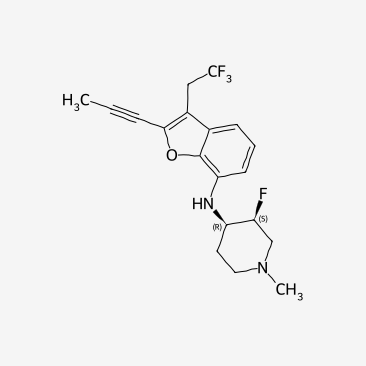 CC#Cc1oc2c(N[C@@H]3CCN(C)C[C@@H]3F)cccc2c1CC(F)(F)F